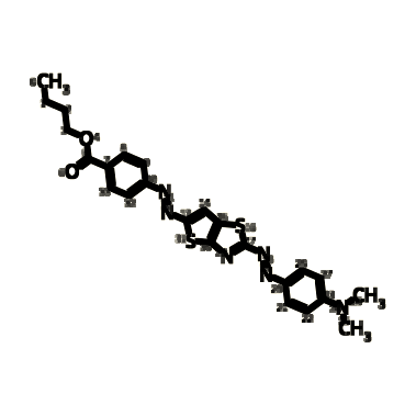 CCCCOC(=O)c1ccc(N=Nc2cc3sc(N=Nc4ccc(N(C)C)cc4)nc3s2)cc1